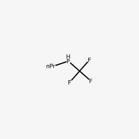 CCCPC(F)(F)F